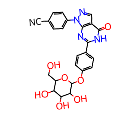 N#Cc1ccc(-n2ncc3c(=O)[nH]c(-c4ccc(OC5OC(CO)C(O)C(O)C5O)cc4)nc32)cc1